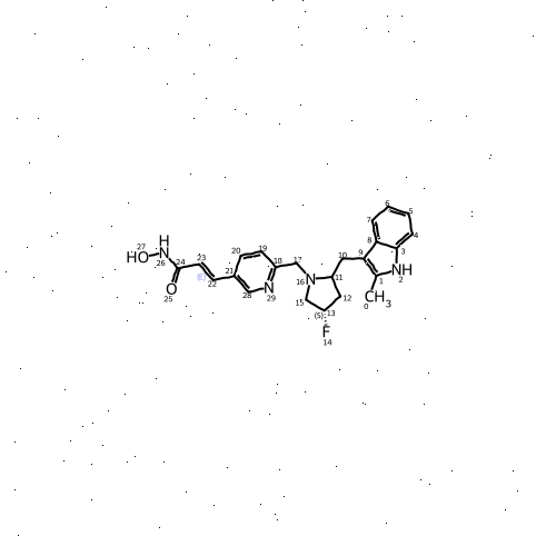 Cc1[nH]c2ccccc2c1CC1C[C@H](F)CN1Cc1ccc(/C=C/C(=O)NO)cn1